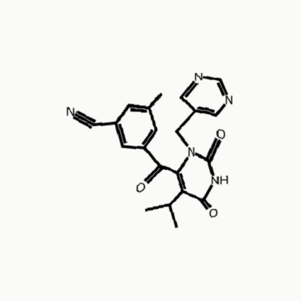 Cc1cc(C#N)cc(C(=O)c2c(C(C)C)c(=O)[nH]c(=O)n2Cc2cncnc2)c1